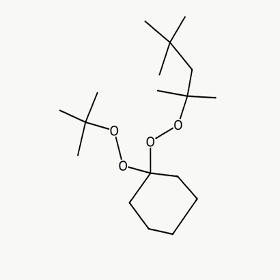 CC(C)(C)CC(C)(C)OOC1(OOC(C)(C)C)CCCCC1